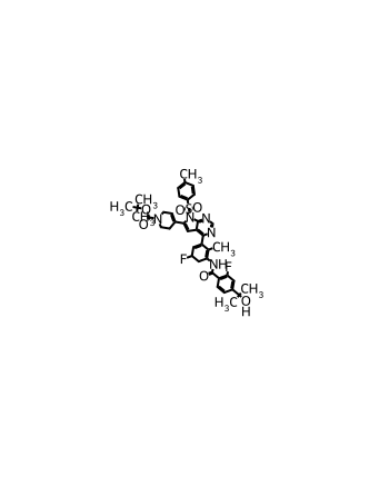 CC1=C(NC(=O)c2ccc(C(C)(C)O)cc2F)CC(F)C=C1c1ncnc2c1cc(C1=CCN(C(=O)OC(C)(C)C)CC1)n2S(=O)(=O)c1ccc(C)cc1